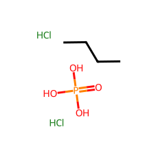 CCCC.Cl.Cl.O=P(O)(O)O